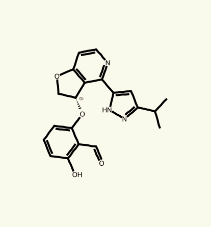 CC(C)c1cc(-c2nccc3c2[C@H](Oc2cccc(O)c2C=O)CO3)[nH]n1